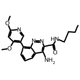 CCCCNC(=O)c1nnc2c(-c3cnc(OC)cc3OC)cccc2c1N